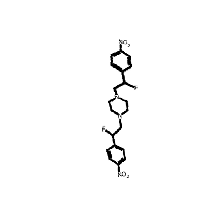 O=[N+]([O-])c1ccc(C(F)CN2CCN(CC(F)c3ccc([N+](=O)[O-])cc3)CC2)cc1